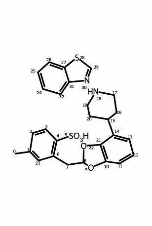 Cc1ccc(S(=O)(=O)O)c(CC2Oc3cccc(C4CCNCC4)c3O2)c1.c1ccc2scnc2c1